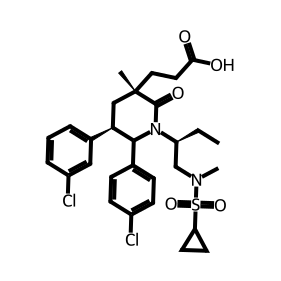 CC[C@@H](CN(C)S(=O)(=O)C1CC1)N1C(=O)[C@@](C)(CCC(=O)O)C[C@H](c2cccc(Cl)c2)C1c1ccc(Cl)cc1